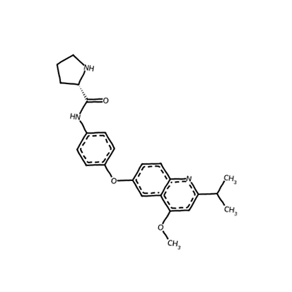 COc1cc(C(C)C)nc2ccc(Oc3ccc(NC(=O)[C@@H]4CCCN4)cc3)cc12